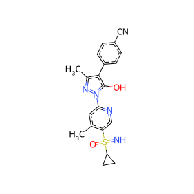 Cc1cc(-n2nc(C)c(-c3ccc(C#N)cc3)c2O)ncc1S(=N)(=O)C1CC1